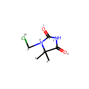 CC1(C)C(=O)NC(=O)N1CCl